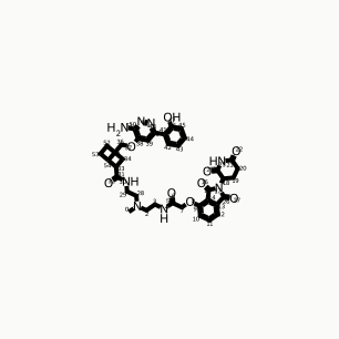 CN(CCNC(=O)COc1cccc2c1C(=O)N(C1CCC(=O)NC1=O)C2=O)CCNC(=O)C1CC2(COc3cc(-c4ccccc4O)nnc3N)CCC12